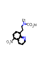 CCN(CCc1ccc([N+](=O)[O-])c2cccnc12)C(=O)O